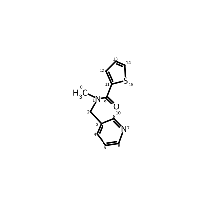 CN(Cc1cccnc1)C(=O)c1cccs1